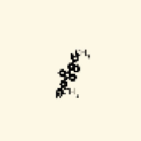 Cc1ccc(-c2ccc(-c3c4ccccc4c(-c4ccc(-c5ccncc5C)cc4)c4ccccc34)c3ccccc23)cn1